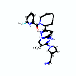 Cc1cn2nc([C@@H]3CCCCN3C(=O)c3cccc(F)n3)cc2nc1N1CCC(C=N)C1